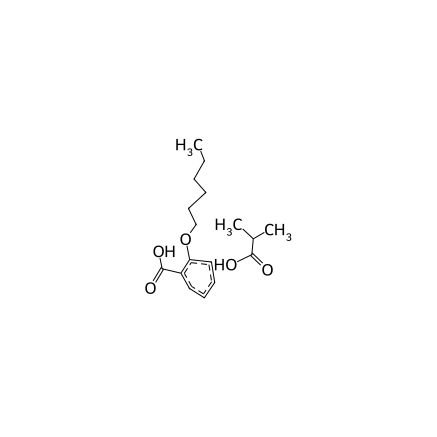 CC(C)C(=O)O.CCCCCCOc1ccccc1C(=O)O